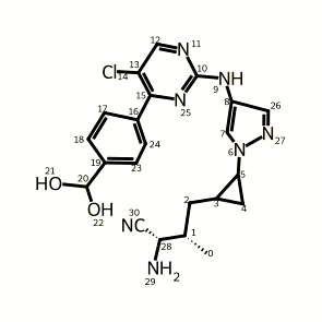 C[C@@H](CC1CC1n1cc(Nc2ncc(Cl)c(-c3ccc(C(O)O)cc3)n2)cn1)[C@H](N)C#N